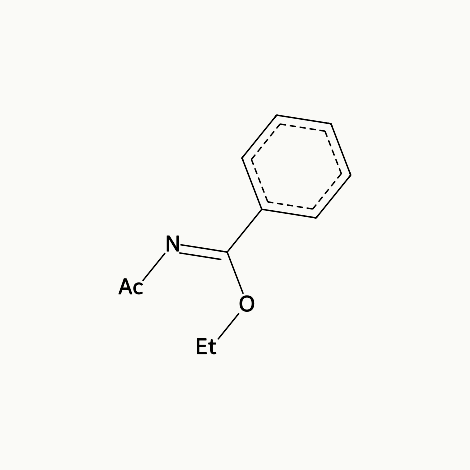 CCOC(=NC(C)=O)c1ccccc1